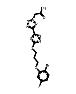 O=C(O)Cn1nnc(-c2nnc(SCCCOc3cc(F)ccc3Br)s2)n1